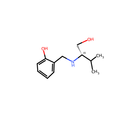 CC(C)[C@@H](CO)NCc1ccccc1O